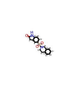 O=C1Cc2cc(S(=O)(=O)N3CCc4ccccc4C3)ccc2N1